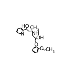 CCOc1ccccc1OCC(O)CNC(C)CC(O)c1ccccn1